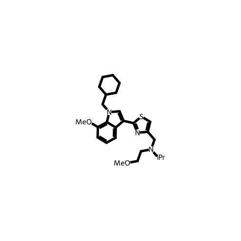 COCCN(Cc1csc(-c2cn(CC3CCCCC3)c3c(OC)cccc23)n1)C(C)C